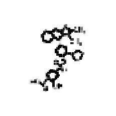 Cc1sc2cc3ccccc3c(-c3ccc(OS(=O)(=O)c4ccc(C(=O)O)c(O)c4)c(C4CCCC4)c3)c2c1C